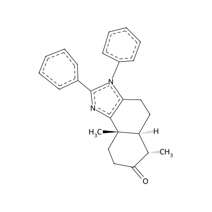 C[C@@H]1C(=O)CC[C@]2(C)c3nc(-c4ccccc4)n(-c4ccccc4)c3CC[C@@H]12